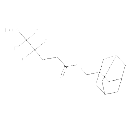 O=C(CCC(F)(F)C(F)(F)S(=O)(=O)O)OCC12CC3CC(CC(C3)C1)C2